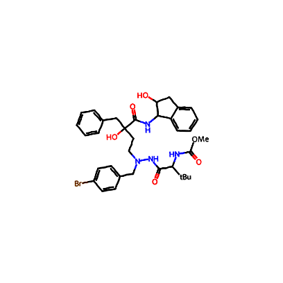 COC(=O)NC(C(=O)NN(CCC(O)(Cc1ccccc1)C(=O)NC1c2ccccc2CC1O)Cc1ccc(Br)cc1)C(C)(C)C